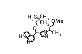 COCCC(C)n1cc(C(OCC[Si](C)(C)C)c2ccnc3[nH]ccc23)cn1